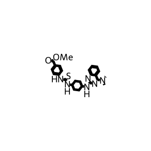 COC(=O)c1ccc(NC(=S)NC2CCC(Nc3nc(N(C)C)c4ccccc4n3)CC2)cc1